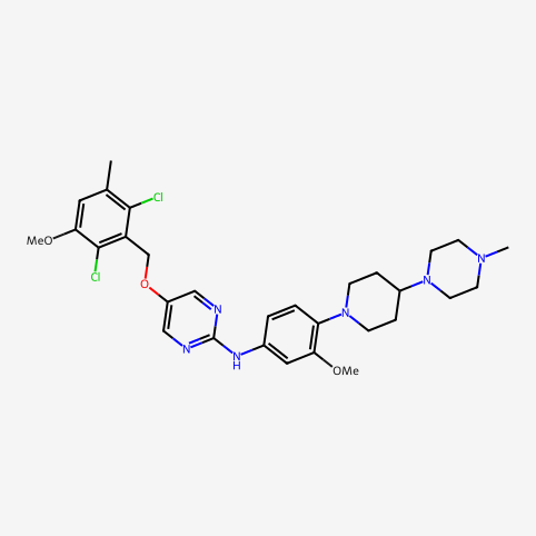 COc1cc(Nc2ncc(OCc3c(Cl)c(C)cc(OC)c3Cl)cn2)ccc1N1CCC(N2CCN(C)CC2)CC1